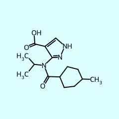 CC1CCC(C(=O)N(c2n[nH]cc2C(=O)O)C(C)C)CC1